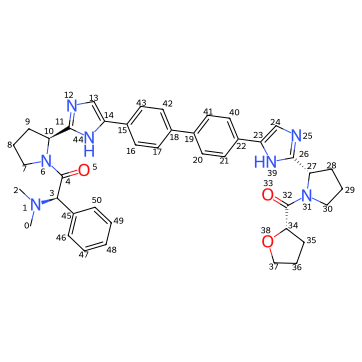 CN(C)[C@@H](C(=O)N1CCC[C@H]1c1ncc(-c2ccc(-c3ccc(-c4cnc([C@@H]5CCCN5C(=O)[C@@H]5CCCO5)[nH]4)cc3)cc2)[nH]1)c1ccccc1